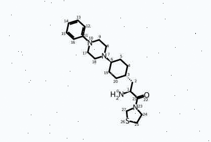 N[C@@H](C[C@H]1CC[C@H](N2CCN(c3ccccc3)CC2)CC1)C(=O)N1CCSC1